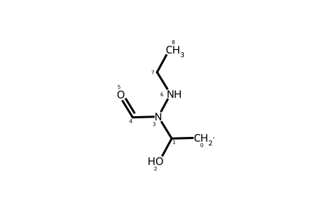 [CH2]C(O)N(C=O)NCC